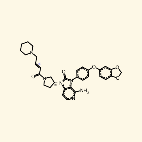 Nc1nccc2c1n(-c1ccc(Oc3ccc4c(c3)OCO4)cc1)c(=O)n2[C@@H]1CCN(C(=O)/C=C/CN2CCCCC2)C1